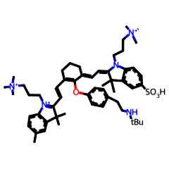 Cc1ccc2c(c1)C(C)(C)C(/C=C/C1=C(Oc3ccc(CCNC(C)(C)C)cc3)C(=C/C=C3/N(CCC[N+](C)(C)C)c4ccc(S(=O)(=O)O)cc4C3(C)C)/CCC1)=[N+]2CCC[N+](C)(C)C